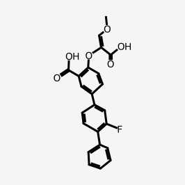 COC=C(Oc1ccc(-c2ccc(-c3ccccc3)c(F)c2)cc1C(=O)O)C(=O)O